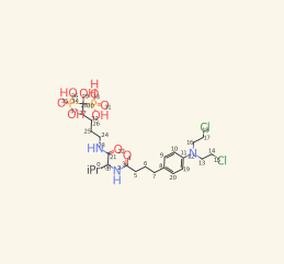 CC(C)[C@H](NC(=O)CCCc1ccc(N(CCCl)CCCl)cc1)C(=O)NCCCCC(O)(P(=O)(O)O)P(=O)(O)O